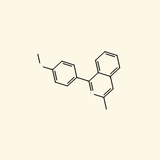 COc1ccc(-c2nc(C)cc3ccccc23)cc1